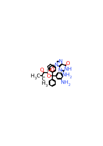 CC(C)C(=O)C(OC(c1ccccc1)(c1ccccc1)c1cccc(N)c1)[C@@H]1CC[C@H](n2cnc3c(=O)[nH]c(N)nc32)O1